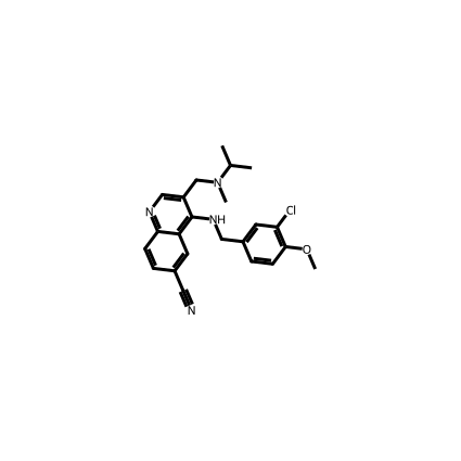 COc1ccc(CNc2c(CN(C)C(C)C)cnc3ccc(C#N)cc23)cc1Cl